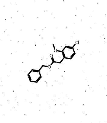 COc1cc(Cl)ccc1CC(=O)OCc1ccccc1